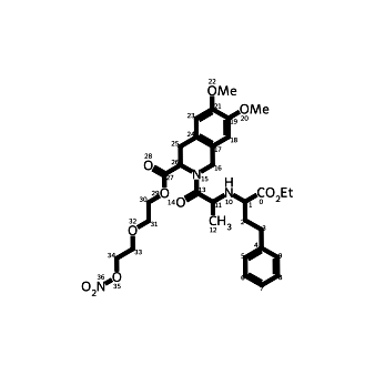 CCOC(=O)C(CCc1ccccc1)NC(C)C(=O)N1Cc2cc(OC)c(OC)cc2CC1C(=O)OCCOCCO[N+](=O)[O-]